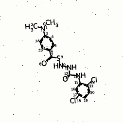 CN(C)c1ccc(C(=O)SNNC(=O)Nc2cc(Cl)ccc2Cl)cc1